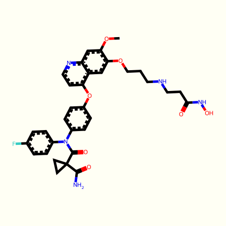 COc1cc2nccc(Oc3ccc(N(C(=O)C4(C(N)=O)CC4)c4ccc(F)cc4)cc3)c2cc1OCCCNCCC(=O)NO